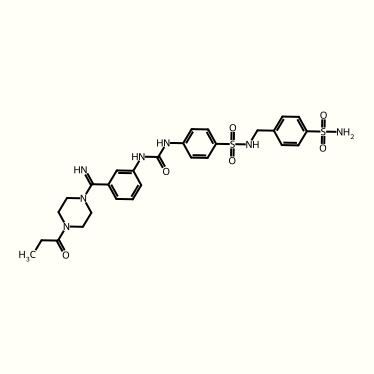 CCC(=O)N1CCN(C(=N)c2cccc(NC(=O)Nc3ccc(S(=O)(=O)NCc4ccc(S(N)(=O)=O)cc4)cc3)c2)CC1